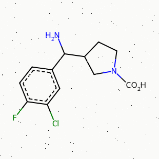 NC(c1ccc(F)c(Cl)c1)C1CCN(C(=O)O)C1